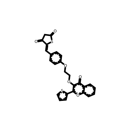 O=C1CC(=O)/C(=C/c2ccc(OCCOc3c(-c4cccs4)oc4ccccc4c3=O)cc2)S1